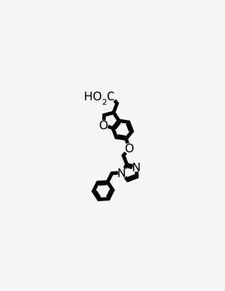 O=C(O)CC1COc2cc(OCc3nccn3Cc3ccccc3)ccc21